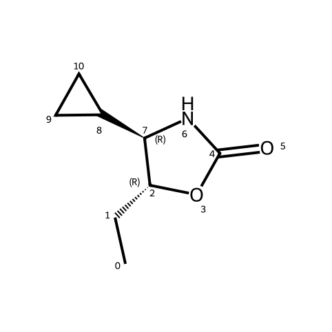 CC[C@H]1OC(=O)N[C@@H]1C1CC1